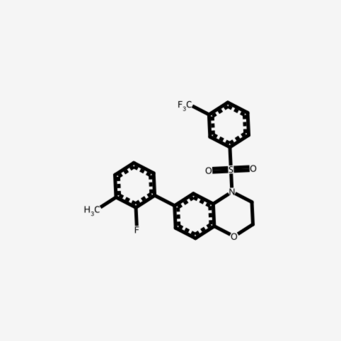 Cc1cccc(-c2ccc3c(c2)N(S(=O)(=O)c2cccc(C(F)(F)F)c2)CCO3)c1F